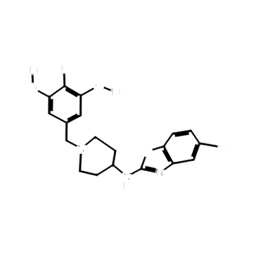 CCOc1cc(CN2CCC(Nc3nc4cc(Cl)ccc4o3)CC2)cc(OCC)c1F